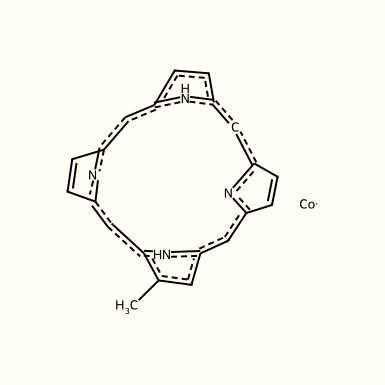 Cc1cc2cc3nc(cc4ccc(cc5nc(cc1[nH]2)C=C5)[nH]4)C=C3.[Co]